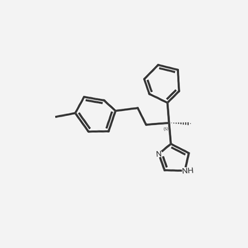 [CH2][C@](CCc1ccc(C)cc1)(c1ccccc1)c1c[nH]cn1